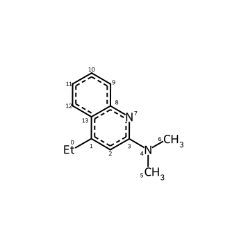 CCc1cc(N(C)C)nc2ccccc12